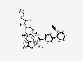 CCOC(=O)N[C@@H]1CC[C@@H]2[C@@H](C1)C[C@H]1C(=O)O[C@H](C)[C@H]1[C@H]2/C=C/c1ccc(-c2ccccc2C#N)cn1